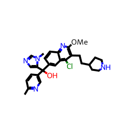 COc1nc2ccc(C(O)(c3ccc(C)nc3)c3cncn3C)cc2c(Cl)c1CCC1CCNCC1